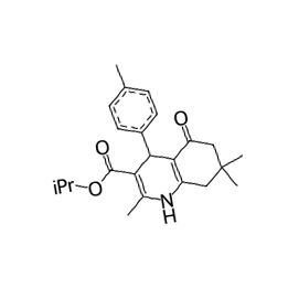 CC1=C(C(=O)OC(C)C)C(c2ccc(C)cc2)C2=C(CC(C)(C)CC2=O)N1